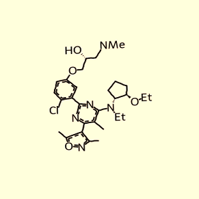 CCO[C@@H]1CCC[C@H]1N(CC)c1nc(-c2cc(OC[C@H](O)CNC)ccc2Cl)nc(-c2c(C)noc2C)c1C